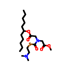 CCCCCC(CCCCC)OC(=O)CN(CC(=O)OC)C(=O)SCCN(C)C